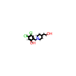 OCCC1CCN(Cc2cc(Cl)c(Cl)cc2O)CC1